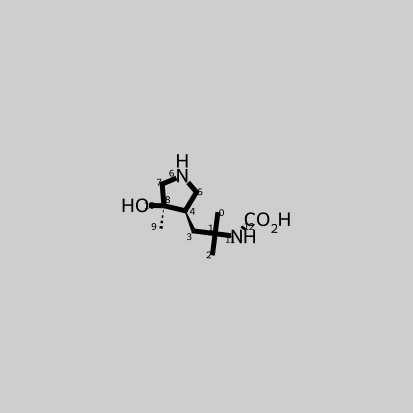 CC(C)(C[C@@H]1CNC[C@]1(C)O)NC(=O)O